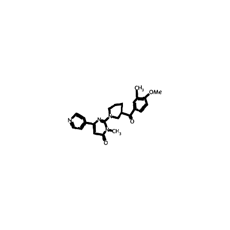 COc1ccc(C(=O)C2CCCN(c3nc(-c4ccncc4)cc(=O)n3C)C2)cc1C